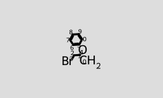 C=C(CBr)Oc1ccccc1